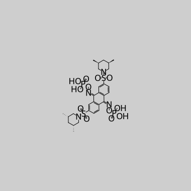 C[C@@H]1C[C@H](C)CN(S(=O)(=O)c2ccc3c(c2)C(=NOP(=O)(O)O)c2cc(S(=O)(=O)N4C[C@H](C)C[C@H](C)C4)ccc2C3=NOP(=O)(O)O)C1